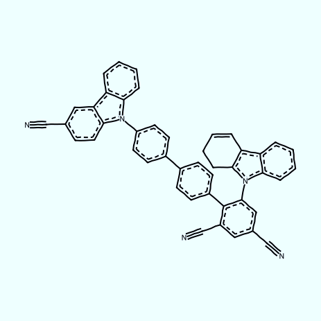 N#Cc1cc(C#N)c(-c2ccc(-c3ccc(-n4c5ccccc5c5cc(C#N)ccc54)cc3)cc2)c(-n2c3c(c4ccccc42)C=CCC3)c1